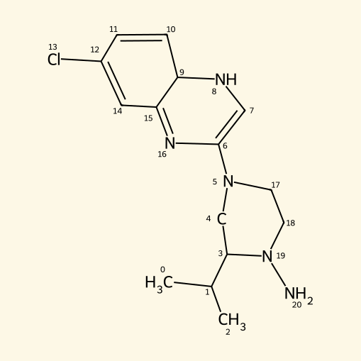 CC(C)C1CN(C2=CNC3C=CC(Cl)=CC3=N2)CCN1N